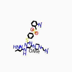 COc1c(Nc2cc(C)[nH]n2)nc(Sc2ccc(S(=O)(=O)Cc3ccccc3N(C)C)cc2)nc1N1CCN(CCN(C)C)CC1